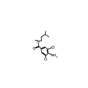 CC(C)CCN(C)C(=O)c1cc(Cl)c(N)c(Cl)c1